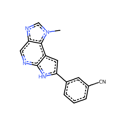 Cn1cnc2cnc3[nH]c(-c4cccc(C#N)c4)cc3c21